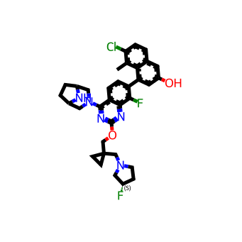 Cc1c(Cl)ccc2cc(O)cc(-c3ccc4c(N5CC6CCC(C5)N6)nc(OCC5(CN6CC[C@H](F)C6)CC5)nc4c3F)c12